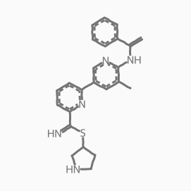 C=C(Nc1ncc(-c2cccc(C(=N)SC3CCNC3)n2)cc1C)c1ccccc1